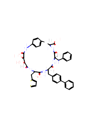 O=C(O)[C@@H]1Cc2ccc(cc2)NC(=O)[C@H](O)[C@@H](O)C(=O)N[C@H](Cc2cccs2)C(=O)N[C@H](Cc2ccc(-c3ccccc3)cc2)C(=O)N[C@@H](Cc2ccccc2)C(=O)N1